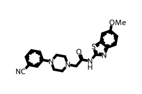 COc1ccc2nc(NC(=O)CN3CCN(c4cccc(C#N)c4)CC3)sc2c1